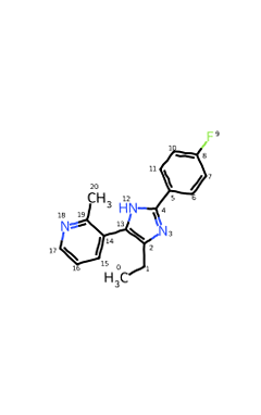 CCc1nc(-c2ccc(F)cc2)[nH]c1-c1cccnc1C